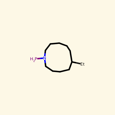 CCC1CCCCCN(P)CCCC1